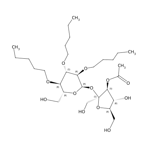 CCCCCO[C@@H]1[C@@H](OCCCCC)[C@@H](O[C@]2(CO)O[C@H](CO)[C@@H](O)[C@@H]2OC(C)=O)O[C@H](CO)[C@H]1OCCCCC